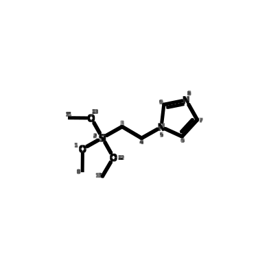 CO[Si](CCn1ccnc1)(OC)OC